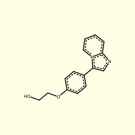 OCCOc1ccc(-c2cnc3ccccn23)cc1